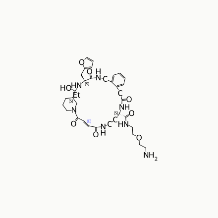 CC[C@]12CCCN(C1)C(=O)/C=C/C(=O)NCC[C@@H](C(=O)NCCOCCN)NC(=O)Cc1ccccc1CNC(=O)[C@H](Cc1ccco1)NC2O